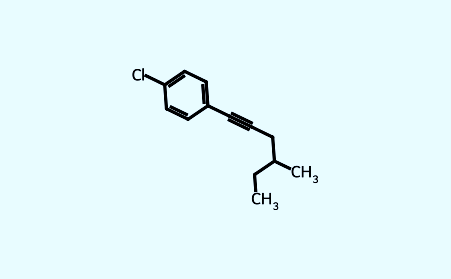 CCC(C)CC#Cc1ccc(Cl)cc1